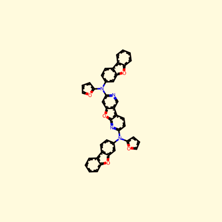 c1coc(N(c2ccc3c(c2)oc2ccccc23)c2cc3oc4nc(N(c5ccc6c(c5)oc5ccccc56)c5ccco5)ccc4c3cn2)c1